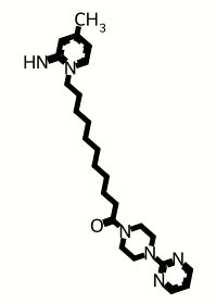 Cc1ccn(CCCCCCCCCCC(=O)N2CCN(c3ncccn3)CC2)c(=N)c1